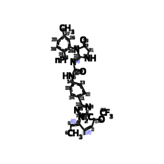 C=C(/C=C\C(=C/C)n1cnc(-c2ccc(NC(=O)/N=C3\NCC(=O)N3c3cc(C)ccc3CCC)cc2)n1)OC(F)(F)F